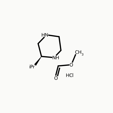 CC(C)[C@H]1CNCCN1.COC=O.Cl